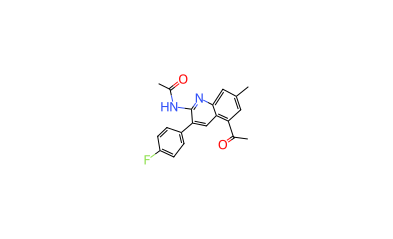 CC(=O)Nc1nc2cc(C)cc(C(C)=O)c2cc1-c1ccc(F)cc1